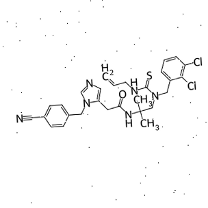 C=CCNC(=S)N(Cc1cccc(Cl)c1Cl)CC(C)(C)NC(=O)Cc1cncn1Cc1ccc(C#N)cc1